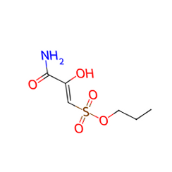 CCCOS(=O)(=O)C=C(O)C(N)=O